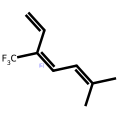 C=C/C(=C\C=C(C)C)C(F)(F)F